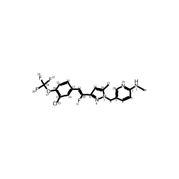 CNc1ccc(Cn2nc(C(F)=Cc3ccc(OC(F)(F)F)c(Cl)c3)cc2C)cn1